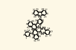 c1ccc(-c2ccc(-c3nc4ccccc4nc3-n3c4ccc(-n5c6ccccc6c6ccccc65)cc4c4c5ccccc5ccc43)c3ccccc23)cc1